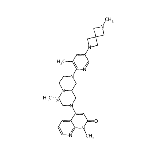 Cc1cc(N2CC3(CN(C)C3)C2)cnc1N1CCN2C(C1)CN(c1cc(=O)n(C)c3ncccc13)C[C@@H]2C